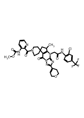 COC(=O)Nc1cccnc1C(=O)N1CCC2(CC1)CC(C)c1c2c(=O)n2nc(C3=CCOCC3)nc2n1CC(=O)Nc1ccc(C(F)(F)F)cc1Cl